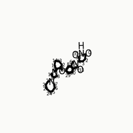 O=C1CCC(N2Cc3cc(OC4CCCCC4N4CC(N5CCCCCCC5)C4)ccc3C2=O)C(=O)N1